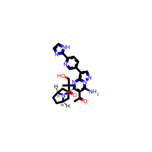 CC(=O)c1c([C@@H]2C[C@H]3CC[C@@H](C2)N3C(=O)C(C)(C)CO)nc2c(-c3ccc(-c4ncc[nH]4)nc3)cnn2c1N